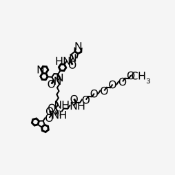 COCCOCCOCCOCCOCCOCCC(=O)NCCCC[C@H](NC(=O)OCC1c2ccccc2-c2ccccc21)C(=O)NCCCCCCN1N=C(c2ccc(NC(=O)N3Cc4ccncc4C3)cc2)CC(c2cccc3ncccc23)C1=O